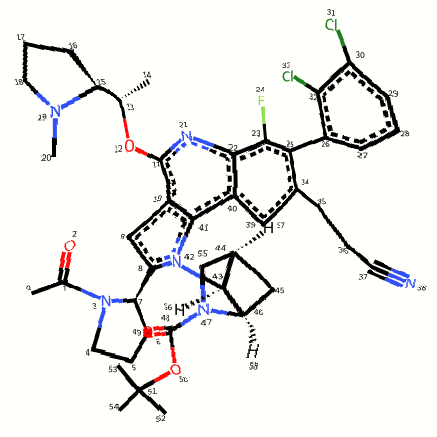 CC(=O)N1CCC[C@@H]1c1cc2c(O[C@@H](C)[C@@H]3CCCN3C)nc3c(F)c(-c4cccc(Cl)c4Cl)c(CCC#N)cc3c2n1[C@H]1[C@@H]2C[C@H]1N(C(=O)OC(C)(C)C)C2